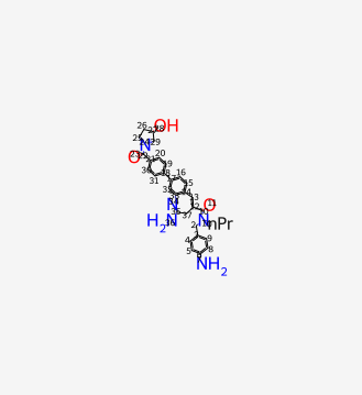 CCCN(Cc1ccc(N)cc1)C(=O)C1=Cc2ccc(-c3ccc(C(=O)N4CC[C@@H](O)C4)cc3)cc2N=C(N)C1